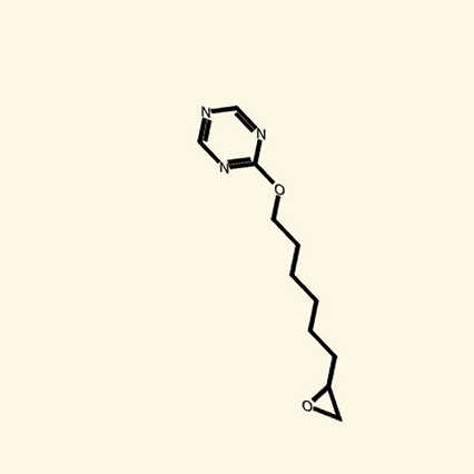 c1ncnc(OCCCCCCC2CO2)n1